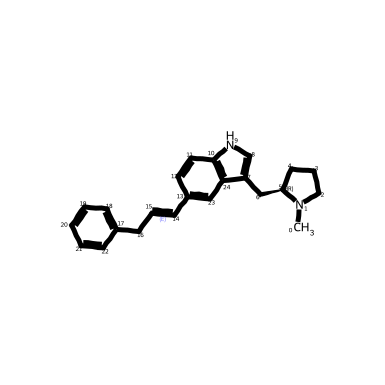 CN1CCC[C@@H]1Cc1c[nH]c2ccc(/C=C/Cc3ccccc3)cc12